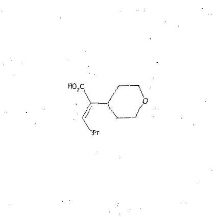 CC(C)/C=C(/C(=O)O)C1CCOCC1